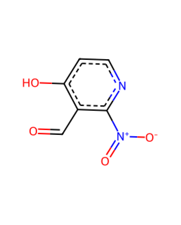 O=Cc1c(O)ccnc1[N+](=O)[O-]